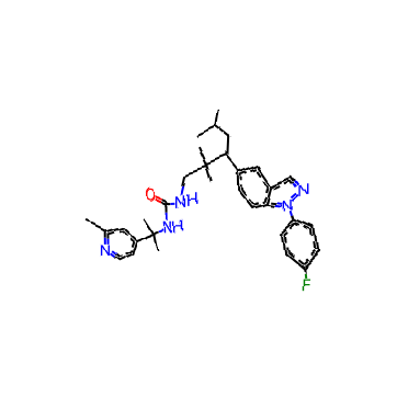 Cc1cc(C(C)(C)NC(=O)NCC(C)(C)C(CC(C)C)c2ccc3c(cnn3-c3ccc(F)cc3)c2)ccn1